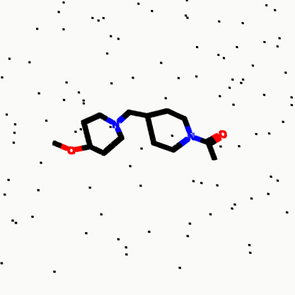 COC1CCN(CC2CCN(C(C)=O)CC2)CC1